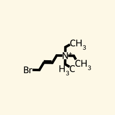 CC[N+](CC)(CC)C/C=C/CBr